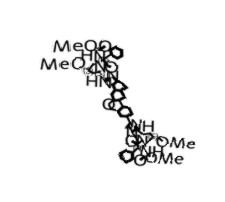 COC[C@H]1CC(c2ncc(-c3ccc4c(c3)COc3cc5c(ccc6nc([C@@H]7C[C@H](COC)CN7C(=O)[C@H](NC(=O)OC)c7ccccc7)[nH]c65)cc3-4)[nH]2)N(C(=O)[C@H](NC(=O)OC)c2ccccc2)C1